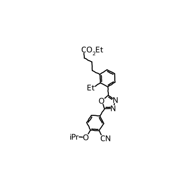 CCOC(=O)CCCc1cccc(-c2nnc(-c3ccc(OC(C)C)c(C#N)c3)o2)c1CC